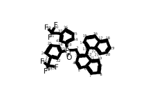 O=P(Cc1ccc2ccccc2c1-c1cccc2ccccc12)(c1cccc(C(F)(F)F)c1)c1cccc(C(F)(F)F)c1